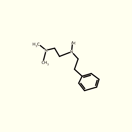 CC(=O)N(CCc1ccccc1)CCN(C)C